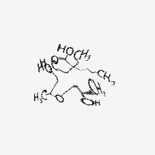 CC(O)COC(C)CO.CCCCC(CC)(CC)C(=O)O